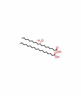 CCCCCCCCCCCCCCCCCC(=O)O.CCCCCCCCCCCCCCCCCC(=O)O.O